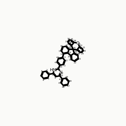 C1=C(c2ccccc2)NC(c2ccc(-c3cccc4c3-c3ccccc3C43c4ccccc4Oc4ccccc43)cc2)N=C1c1ccccc1